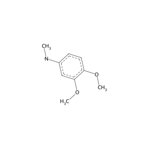 C[N]c1ccc(OC)c(OC)c1